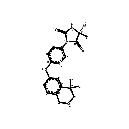 CC[C@@]1(C)NC(=O)N(c2ccc(Oc3ccc4c(c3)C(C)(C)COC4)nc2)C1=O